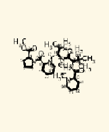 COC(=O)[C@@H]1CCCN1C(=O)[C@@H]1CCCCN1C[C@H](C(C)C)N(C)C(=O)[C@@H](NC(=O)C1CCCCN1C)C(C)(C)C